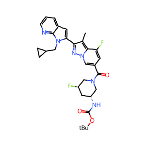 Cc1c(-c2cc3cccnc3n2CC2CC2)nn2cc(C(=O)N3C[C@H](F)C[C@@H](NC(=O)OC(C)(C)C)C3)cc(F)c12